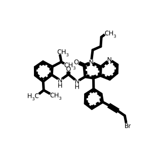 CCCCn1c(=O)c(NC(=O)Nc2c(C(C)C)cccc2C(C)C)c(-c2cccc(C#CCBr)c2)c2cccnc21